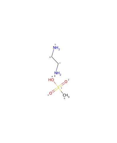 CS(=O)(=O)O.NCCN